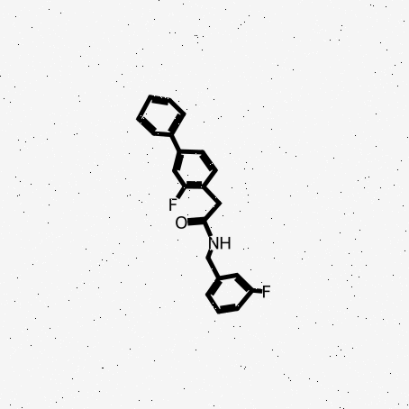 O=C(Cc1ccc(-c2ccccc2)cc1F)NCc1cccc(F)c1